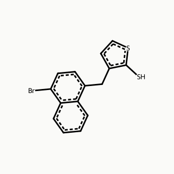 Sc1sccc1Cc1ccc(Br)c2ccccc12